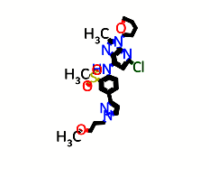 COCCCn1ccc(-c2ccc(Nc3cc(Cl)nc4c3nc(C)n4C3CCCCO3)c(S(C)(=O)=O)c2)n1